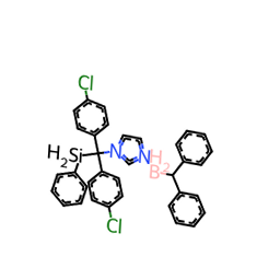 BC(c1ccccc1)c1ccccc1.Clc1ccc(C([SiH2]c2ccccc2)(c2ccc(Cl)cc2)n2ccnc2)cc1